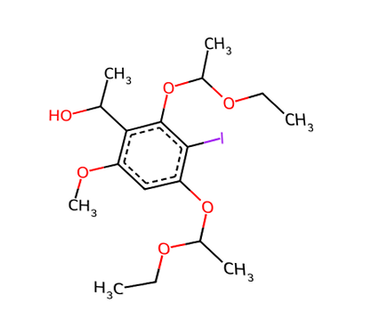 CCOC(C)Oc1cc(OC)c(C(C)O)c(OC(C)OCC)c1I